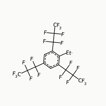 C[CH]c1c(C(F)(F)C(F)(F)C(F)(F)F)cc(C(F)(F)C(F)(F)C(F)(F)F)cc1C(F)(F)C(F)(F)C(F)(F)F